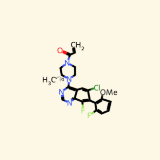 C=CC(=O)N1CCN(c2ncnc3c(F)c(-c4c(F)cccc4OC)c(Cl)cc23)[C@H](C)C1